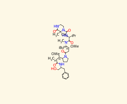 CC[C@H](C)[C@@H]([C@@H](CC(=O)N1CCCC1[C@H](OC)[C@@H](C)C(=O)NC(CO)Cc1ccccc1)OC)N(C)C(=O)C(NC(=O)N1CCNC(=O)C1(C)C)C(C)C